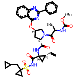 C=C[C@@H]1C[C@]1(NC(=O)[C@@H]1C[C@@H](Oc2nc(-c3ccccc3)nc3ccccc23)CN1C(=O)C(NC(=O)OC(C)(C)C)C(C)(C)C)C(=O)NS(=O)(=O)C1(CC2CC2)CC1